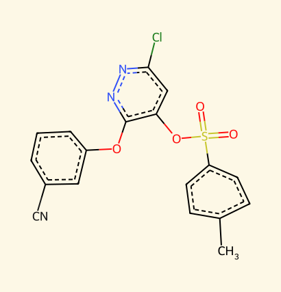 Cc1ccc(S(=O)(=O)Oc2cc(Cl)nnc2Oc2cccc(C#N)c2)cc1